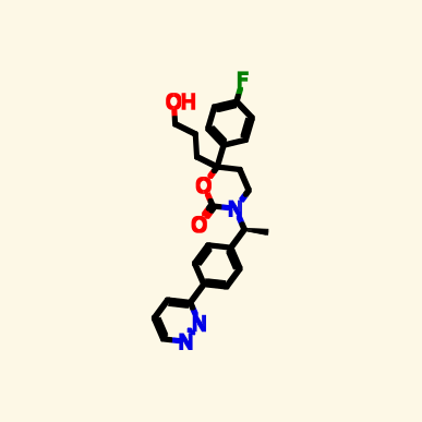 C[C@@H](c1ccc(-c2cccnn2)cc1)N1CCC(CCCO)(c2ccc(F)cc2)OC1=O